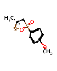 COc1ccc(S(=O)(=O)C[C@@H](C)S)cc1